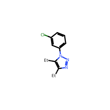 CCc1nnn(-c2cccc(Cl)c2)c1CC